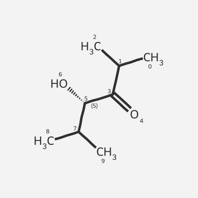 CC(C)C(=O)[C@@H](O)C(C)C